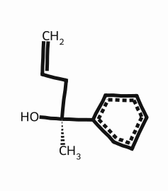 C=CC[C@](C)(O)c1ccccc1